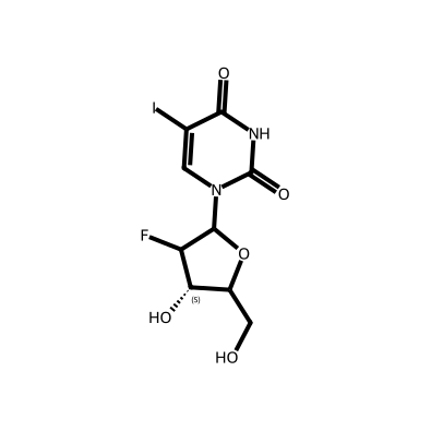 O=c1[nH]c(=O)n(C2OC(CO)[C@H](O)C2F)cc1I